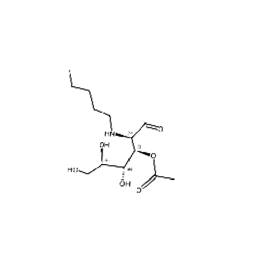 CCCCCN[C@@H](C=O)[C@@H](OC(C)=O)[C@H](O)[C@H](O)CO